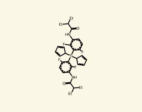 CCC(CC)C(=O)Nc1ccc(F)[c]([Ti]([c]2c(F)ccc(NC(=O)C(CC)CC)c2F)([CH]2C=CC=C2)[CH]2C=CC=C2)c1F